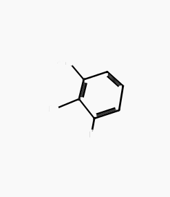 CCCCCc1cccc(CC)c1CC